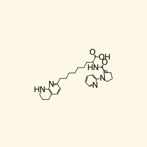 O=C(O)C(CCCCCCCc1ccc2c(n1)NCCC2)NC(=O)[C@H]1CCCN1c1ccccn1